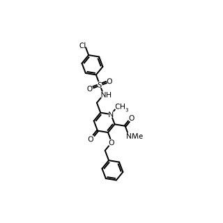 CNC(=O)c1c(OCc2ccccc2)c(=O)cc(CNS(=O)(=O)c2ccc(Cl)cc2)n1C